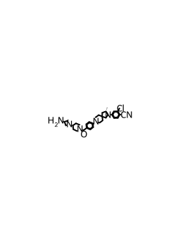 C[C@H]1CC2(CCN(c3ccc(C(=O)N4CCC(N5CC(N)C5)CC4)cc3)CC2)CN1c1ccc(C#N)c(Cl)c1